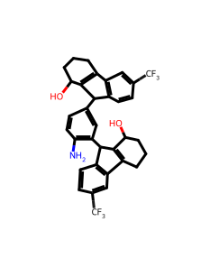 Nc1ccc(C2C3=C(CCCC3O)c3cc(C(F)(F)F)ccc32)cc1C1C2=C(CCCC2O)c2cc(C(F)(F)F)ccc21